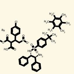 CC(C)(C)c1ccc(S(=O)(=O)N[C@@H](c2ccccc2)[C@@H](N)c2ccccc2)cc1.COC(=O)C(C(=O)O)C(C[N+](=O)[O-])c1ccc(Cl)cc1.Cc1c(C)c(C)c(C)c(C)c1C.[Ru]